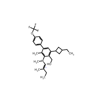 CC/C(C)=C/N(C)c1c(C)c(-c2ccc(OC(F)(F)F)cc2)cc(C2CC(CC)C2)c1CO